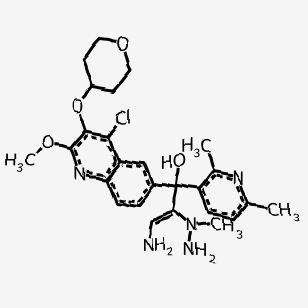 COc1nc2ccc(C(O)(/C(=C/N)N(C)N)c3ccc(C)nc3C)cc2c(Cl)c1OC1CCOCC1